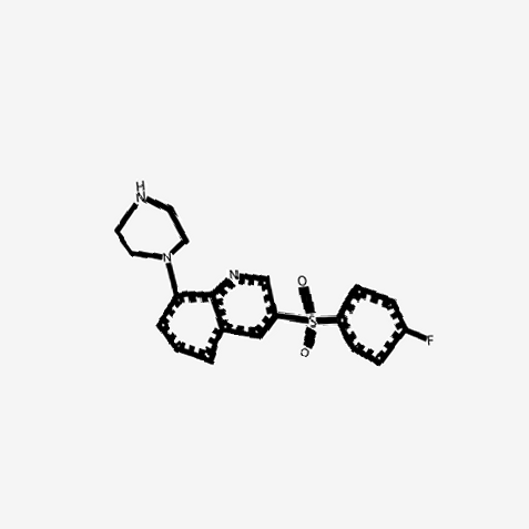 O=S(=O)(c1ccc(F)cc1)c1cnc2c(N3CCNCC3)cccc2c1